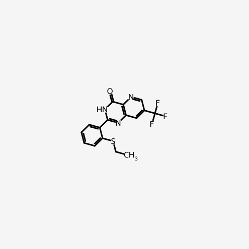 CCSc1ccccc1-c1nc2cc(C(F)(F)F)cnc2c(=O)[nH]1